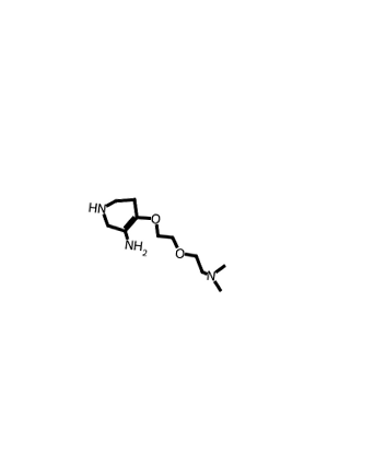 CN(C)CCOCCOC1=C(N)CNCC1